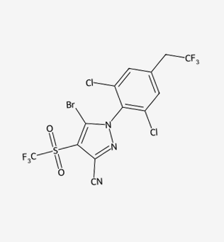 N#Cc1nn(-c2c(Cl)cc(CC(F)(F)F)cc2Cl)c(Br)c1S(=O)(=O)C(F)(F)F